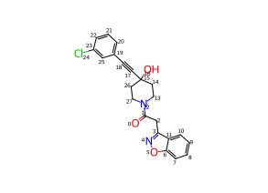 O=C(Cc1noc2ccccc12)N1CCC(O)(C#Cc2cccc(Cl)c2)CC1